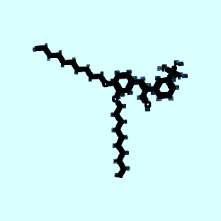 CCCCCCCCCCOc1ccc(C=C(C=O)c2cccc(C(F)(F)F)c2)cc1OCCCCCCCCCC